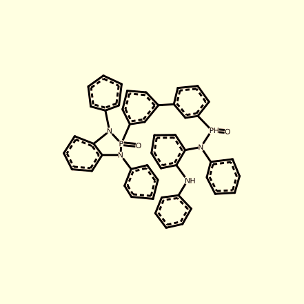 O=[PH](c1cccc(-c2cccc(P3(=O)N(c4ccccc4)c4ccccc4N3c3ccccc3)c2)c1)N(c1ccccc1)c1ccccc1Nc1ccccc1